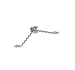 CCCCCCCCCCCCCCCCCCCCCC(=O)C(O)(C(=O)CCCCCCCCCCCCCCCCCCCCC)C([PH-])[N+](C)(C)C